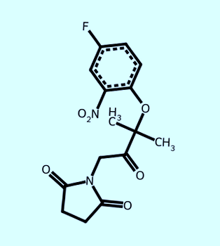 CC(C)(Oc1ccc(F)cc1[N+](=O)[O-])C(=O)CN1C(=O)CCC1=O